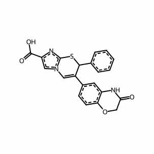 O=C1COc2ccc(C3=Cn4cc(C(=O)O)nc4SC3c3ccccc3)cc2N1